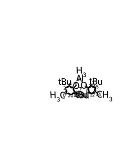 Cc1cc(C(C)(C)C)c(OCOc2c(C(C)(C)C)cc(C)cc2C(C)(C)C)c(C(C)(C)C)c1.[AlH3]